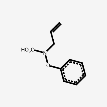 C=CCN(Oc1ccccc1)C(=O)O